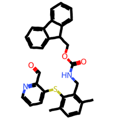 Cc1ccc(C)c(Sc2cccnc2C=O)c1CNC(=O)OCC1c2ccccc2-c2ccccc21